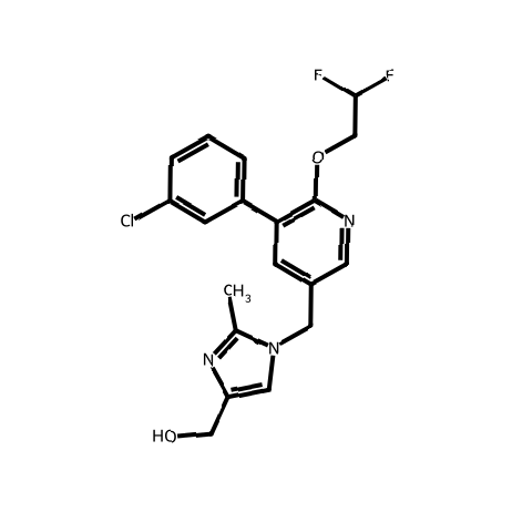 Cc1nc(CO)cn1Cc1cnc(OCC(F)F)c(-c2cccc(Cl)c2)c1